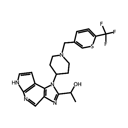 CC(O)c1nc2cnc3[nH]ccc3c2n1C1CCN(CC2=CSC(C(F)(F)F)=C=C2)CC1